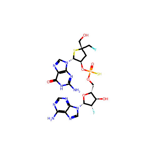 Nc1nc2c(ncn2[C@@H]2S[C@](CO)(CF)C[C@H]2OP(=O)(S)OC[C@H]2O[C@@H](n3cnc4c(N)ncnc43)[C@@H](F)[C@@H]2O)c(=O)[nH]1